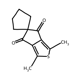 Cc1sc(C)c2c1C(=O)C1(CCCC1)C2=O